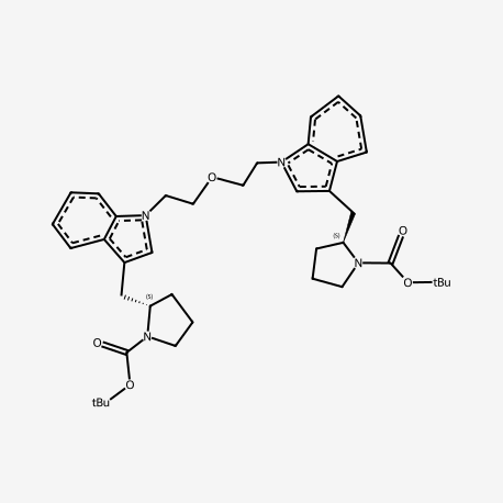 CC(C)(C)OC(=O)N1CCC[C@H]1Cc1cn(CCOCCn2cc(C[C@@H]3CCCN3C(=O)OC(C)(C)C)c3ccccc32)c2ccccc12